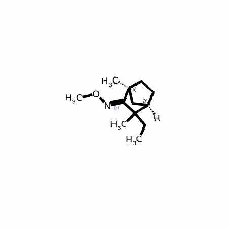 CCC1(C)/C(=N/OC)[C@@]2(C)CC[C@@H]1C2